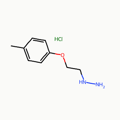 Cc1ccc(OCCNN)cc1.Cl